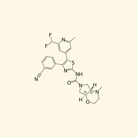 Cc1cc(-c2sc(NC(=O)N3C[C@@H]4OCCN(C)[C@H]4C3)nc2-c2cccc(C#N)c2)cc(C(F)F)n1